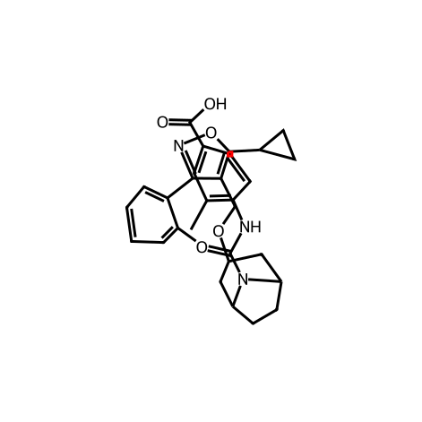 Cc1cc(C(=O)O)ccc1NC(=O)N1C2CCC1CC(OCc1c(-c3ccccc3C)noc1C1CC1)C2